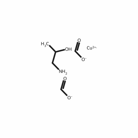 CC(O)CN.O=C[O-].O=C[O-].[Cu+2]